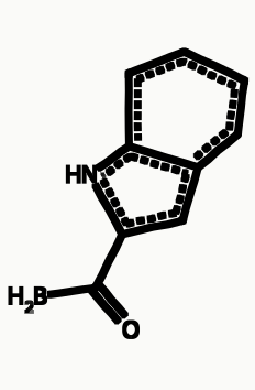 BC(=O)c1cc2ccccc2[nH]1